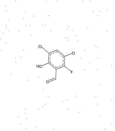 O=Cc1c(O)c(Cl)cc(Cl)c1F